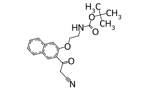 CC(C)(C)OC(=O)NCCOc1cc2ccccc2cc1C(=O)CC#N